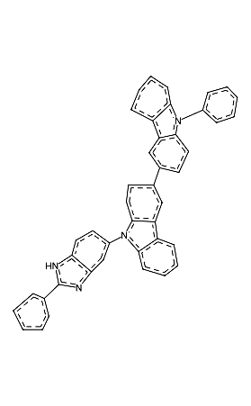 c1ccc(-c2nc3cc(-n4c5ccccc5c5cc(-c6ccc7c(c6)c6ccccc6n7-c6ccccc6)ccc54)ccc3[nH]2)cc1